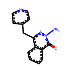 Nn1nc(Cc2ccncc2)c2ccccc2c1=O